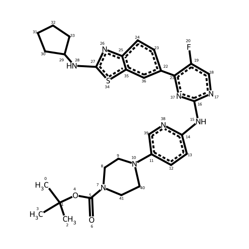 CC(C)(C)OC(=O)N1CCN(c2ccc(Nc3ncc(F)c(-c4ccc5nc(NC6CCCC6)sc5c4)n3)nc2)CC1